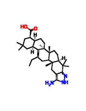 CCC1=C2[C@H]3CC(C)(C)C[C@@H](C(=O)O)[C@H]3CC[C@@]2(C)[C@]2(C)CC[C@H]3C(C)(C)c4n[nH]c(N)c4C[C@]3(C)C2C1